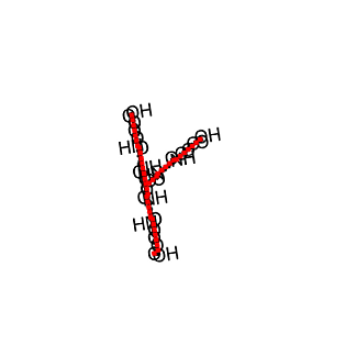 O=C(O)CCOCCOCCOCCNC(=O)CCCCCCCNC(=O)CCOCC(COCCC(=O)NCCCCCCCC(=O)NCCOCCOCCOCCC(=O)O)COCCC(=O)NCCCCCCCC(=O)NCCOCCOCCOCCC(=O)O